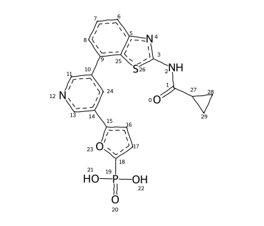 O=C(Nc1nc2cccc(-c3cncc(-c4ccc(P(=O)(O)O)o4)c3)c2s1)C1CC1